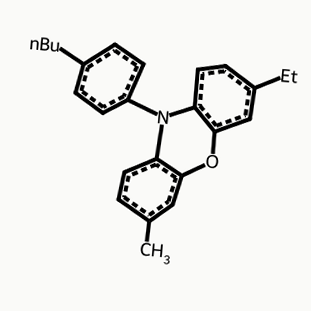 CCCCc1ccc(N2c3ccc(C)cc3Oc3cc(CC)ccc32)cc1